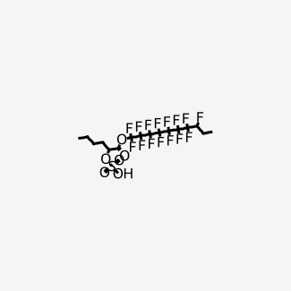 CCCCC(OS(=O)(=O)O)C(=O)OC(F)(F)C(F)(F)C(F)(F)C(F)(F)C(F)(F)C(F)(F)C(F)(F)C(F)CC